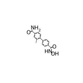 Cc1cc(C(N)=O)ccc1-c1ccc(C(=O)NO)cc1